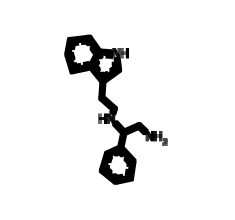 NCC(NCCc1c[nH]c2ccccc12)c1ccccc1